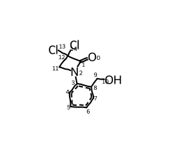 O=C1N(c2ccccc2CO)CC1(Cl)Cl